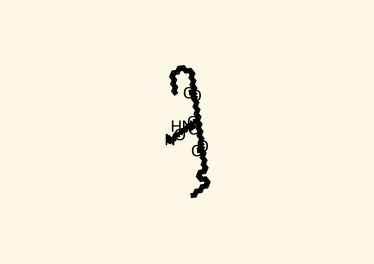 CCCCC/C=C\C/C=C\C/C=C\CCCCC(=O)OCCCCCCC(CCCCCCOC(=O)CCCC/C=C\C/C=C\C/C=C\CCCCC)OC(=O)NCCOCCN(C)C